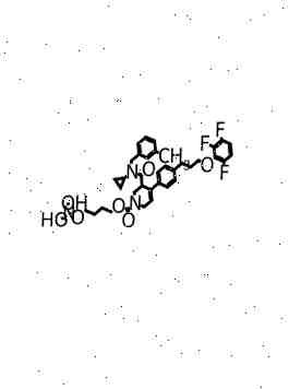 Cc1cccc(CN(C(=O)C2CN(C(=O)OCCCCON(O)O)CC=C2c2ccc(CCCOc3c(F)ccc(F)c3F)cc2)C2CC2)c1